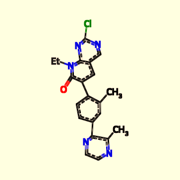 CCn1c(=O)c(-c2ccc(-c3nccnc3C)cc2C)cc2cnc(Cl)nc21